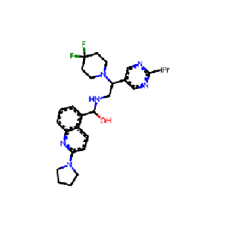 CC(C)c1ncc(C(CNC(O)c2cccc3nc(N4CCCC4)ccc23)N2CCC(F)(F)CC2)cn1